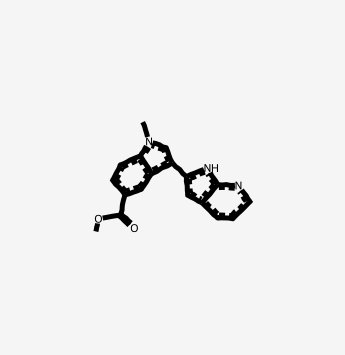 COC(=O)c1ccc2c(c1)c(-c1cc3cccnc3[nH]1)cn2C